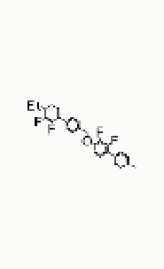 CCC1CC=C(c2ccc(COc3ccc(-c4ccc(C)cc4)c(F)c3F)cc2)C(F)=C1F